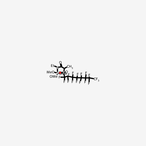 CCN(C(=O)C(C)S(=O)(=O)C(F)(F)C(F)(F)C(F)(F)C(F)(F)C(F)(F)C(F)(F)C(F)(F)C(F)(F)F)[Si](OC)(OC)OC